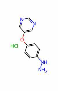 Cl.NNc1ccc(Oc2cncnc2)cc1